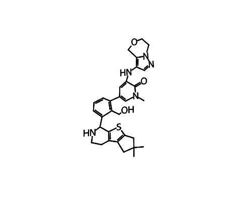 Cn1cc(-c2cccc(C3NCCc4c3sc3c4CC(C)(C)C3)c2CO)cc(Nc2cnn3c2COCC3)c1=O